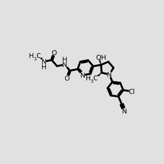 CNC(=O)CNC(=O)c1ccc([C@]2(O)CCN(c3ccc(C#N)c(Cl)c3)[C@H]2C)cn1